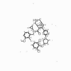 COc1cccc(CN(C(=O)C2=C(c3cnc(N4CC[C@@H](Oc5c(Cl)cccc5Cl)C4)s3)CC3CNCC2N3)C2CC2)c1C